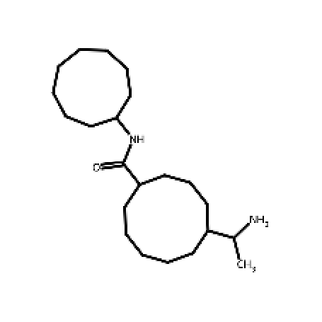 CC(N)C1CCCCCC(C(=O)NC2CCCCCCCC2)CCC1